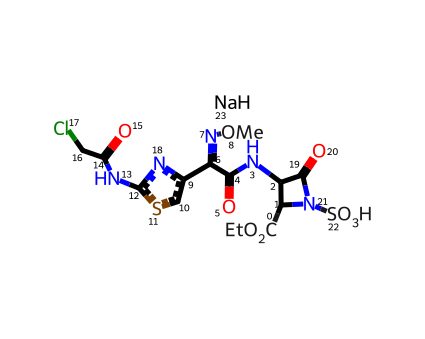 CCOC(=O)C1C(NC(=O)/C(=N\OC)c2csc(NC(=O)CCl)n2)C(=O)N1S(=O)(=O)O.[NaH]